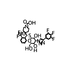 O=C(O)N1CCC(O)([C@H](S[C@@H]2O[C@H](CO)[C@H](O)[C@H](n3cc(-c4cc(F)c(F)c(F)c4)nn3)[C@H]2O)c2ccccc2C(F)(F)F)CC1